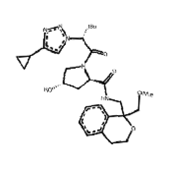 COCC1(CNC(=O)[C@H]2C[C@H](O)CN2C(=O)[C@H](n2cc(C3CC3)nn2)C(C)(C)C)OCCc2ccccc21